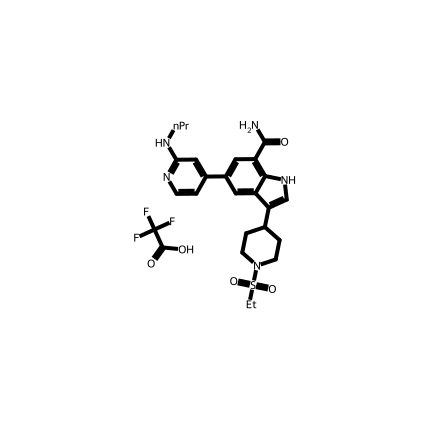 CCCNc1cc(-c2cc(C(N)=O)c3[nH]cc(C4CCN(S(=O)(=O)CC)CC4)c3c2)ccn1.O=C(O)C(F)(F)F